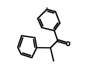 CC(C(=O)c1cc[c]cc1)c1ccccc1